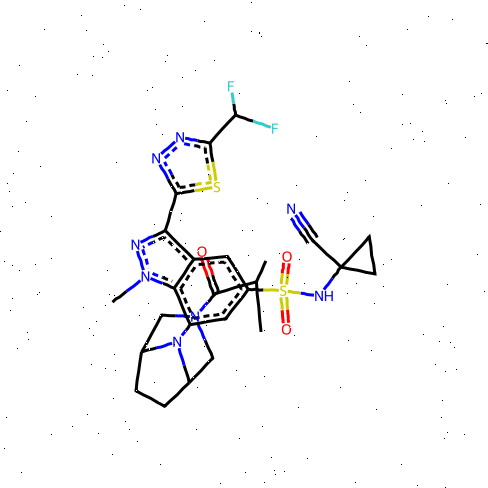 CC(C)C(=O)N1CC2CCC(C1)N2c1cc(S(=O)(=O)NC2(C#N)CC2)cc2c(-c3nnc(C(F)F)s3)nn(C)c12